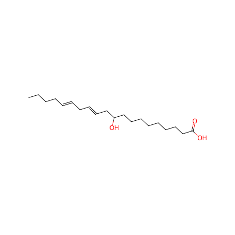 CCCCC=CCC=CCC(O)CCCCCCCCC(=O)O